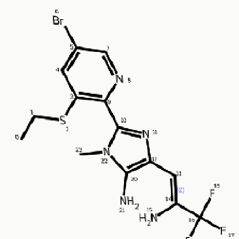 CCSc1cc(Br)cnc1-c1nc(/C=C(\N)C(F)(F)F)c(N)n1C